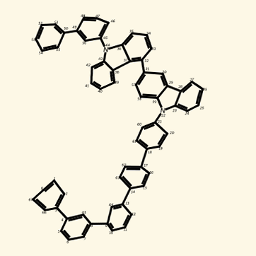 c1ccc(-c2cccc(-c3cccc(-c4ccc(-c5ccc(-n6c7ccccc7c7cc(-c8cccc9c8c8ccccc8n9-c8cccc(-c9ccccc9)c8)ccc76)cc5)cc4)c3)c2)cc1